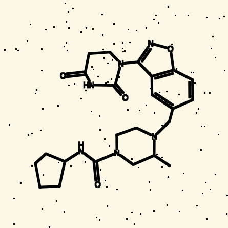 CC1CN(C(=O)NC2CCCC2)CCN1Cc1ccc2onc(N3CCC(=O)NC3=O)c2c1